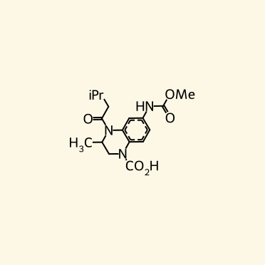 COC(=O)Nc1ccc2c(c1)N(C(=O)CC(C)C)C(C)CN2C(=O)O